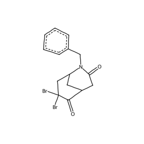 O=C1CC2CC(CC(Br)(Br)C2=O)N1Cc1ccccc1